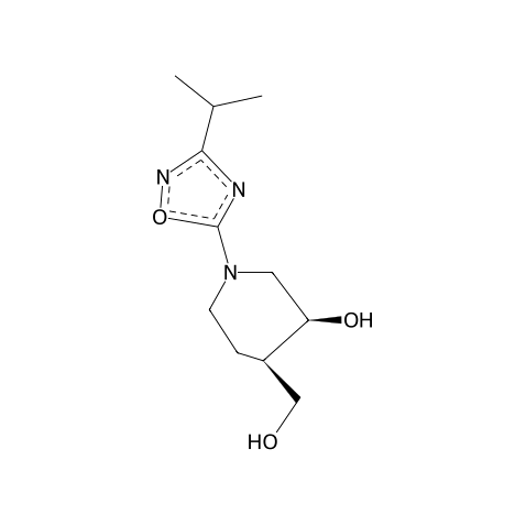 CC(C)c1noc(N2CC[C@H](CO)[C@H](O)C2)n1